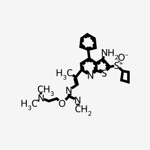 C=N/C(=N\C=C(/C)c1cc(-c2ccccc2)c2c(N)c([S+]([O-])C3CCC3)sc2n1)OCCN(C)C